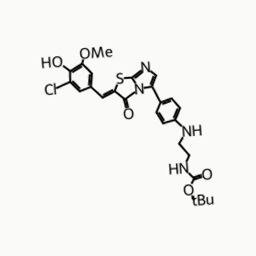 COc1cc(/C=c2\sc3ncc(-c4ccc(NCCNC(=O)OC(C)(C)C)cc4)n3c2=O)cc(Cl)c1O